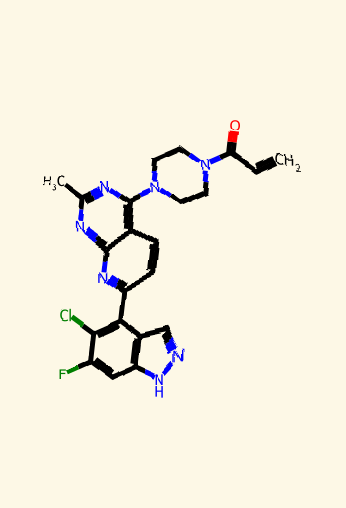 C=CC(=O)N1CCN(c2nc(C)nc3nc(-c4c(Cl)c(F)cc5[nH]ncc45)ccc23)CC1